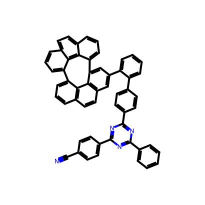 N#Cc1ccc(-c2nc(-c3ccccc3)nc(-c3ccc(-c4ccccc4-c4cc5ccc6cccc7c8cccc9ccc%10cccc(c(c4)c5c67)c%10c98)cc3)n2)cc1